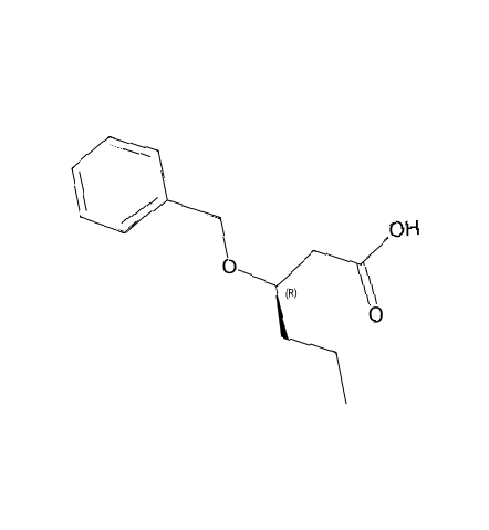 CCC[C@H](CC(=O)O)OCc1ccccc1